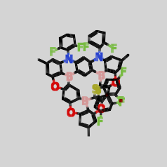 Cc1cc2c3c(c1)Oc1c(sc4cc(F)cc(F)c14)B3c1cc3c(cc1O2)Oc1cc(C)cc2c1B3c1cc3c(cc1N2c1c(F)cccc1F)N(c1c(F)cccc1F)c1cc(C)cc2c1B3c1sc3cc(F)cc(F)c3c1O2